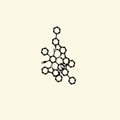 N#Cc1c(-c2ccccc2)c(C#N)c(-n2c3c(ccc4c5cc(-c6ccccc6)ccc5sc43)c3ccc4c5cc(-c6ccccc6)ccc5sc4c32)c(-c2cc(-c3ccccc3)cc(-c3ccccc3)c2)c1-n1c2ccccc2c2ccccc21